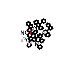 CC(C)c1c(N2C=CC=CC2)c2cc(/C(=N/c3ccccc3)c3ccccc3)c3c4ccc(N5CC=C(c6cccc7ccccc67)c6ccccc65)cc4oc3c2c2c1cc(C#N)c1oc3c(N(c4c5ccccc5c(-c5ccccc5)c5ccccc45)c4cc5ccccc5c5ccccc45)cccc3c12